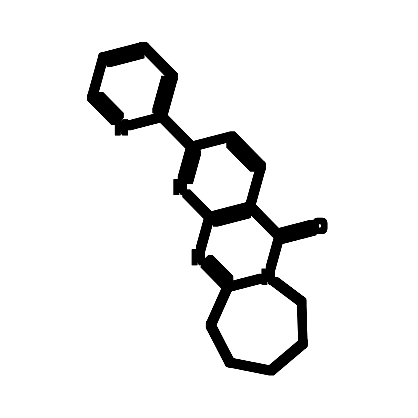 O=c1c2ccc(-c3ccccn3)nc2nc2n1CCCCC2